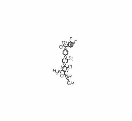 CC[C@H]1CN(c2nc(N)c(C(=O)NCCO)nc2Cl)CCN1C1CCN([C@H](C(=O)OC)c2ccc(F)c(F)c2)CC1